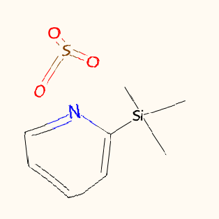 C[Si](C)(C)c1ccccn1.O=S(=O)=O